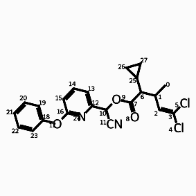 CC(C=C(Cl)Cl)C(C(=O)OC(C#N)c1cccc(Oc2ccccc2)n1)C1CC1